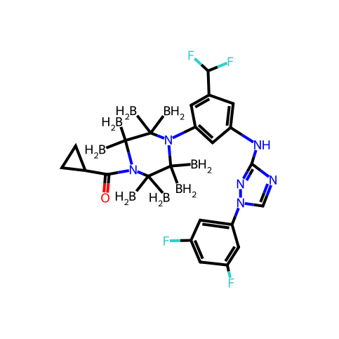 BC1(B)N(C(=O)C2CC2)C(B)(B)C(B)(B)N(c2cc(Nc3ncn(-c4cc(F)cc(F)c4)n3)cc(C(F)F)c2)C1(B)B